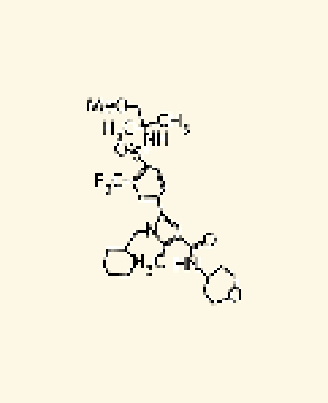 COCC(C)(C)N[S+]([O-])c1ccc(-c2cc(C(=O)NC3CCOCC3)c(C)n2CC2CCCCC2)cc1C(F)(F)F